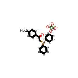 Cc1ccc(C(=O)C[S+](c2ccccc2)c2ccccc2)cc1.[O-][Cl+3]([O-])([O-])[O-]